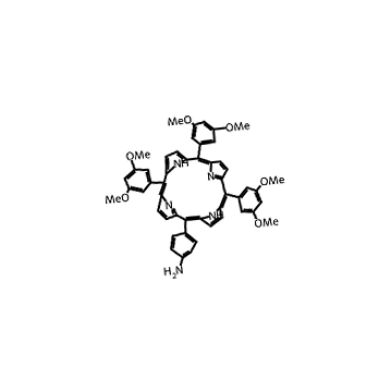 COc1cc(OC)cc(-c2c3nc(c(-c4cc(OC)cc(OC)c4)c4ccc([nH]4)c(-c4cc(OC)cc(OC)c4)c4nc(c(-c5ccc(N)cc5)c5ccc2[nH]5)C=C4)C=C3)c1